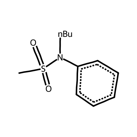 [CH2]CCCN(c1ccccc1)S(C)(=O)=O